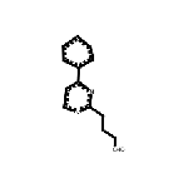 O=CCCCc1nccc(-c2ccccc2)n1